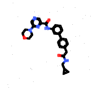 O=C(Cc1ccc(-c2cccc(NC(=O)c3cncc(N4CCOCC4)n3)c2)cc1)NCC1CC1